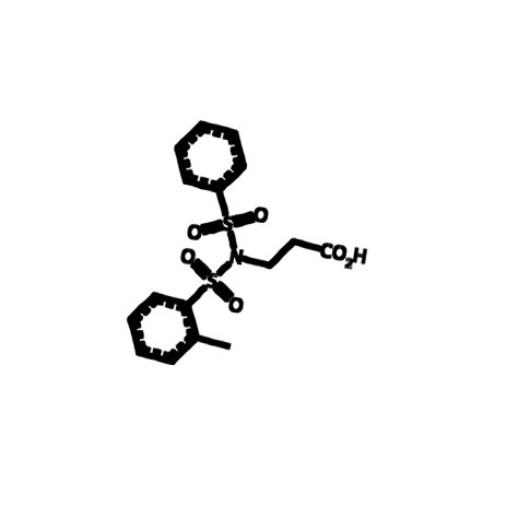 Cc1ccccc1S(=O)(=O)N(CCC(=O)O)S(=O)(=O)c1ccccc1